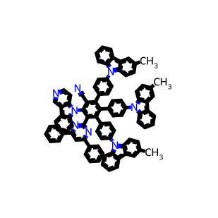 Cc1ccc2c(c1)c1ccccc1n2-c1ccc(-c2c(C#N)c(-n3c4ccccc4c4cnccc43)c(-c3nc(-c4ccccc4)cc(-c4ccccc4)n3)c(-c3ccc(-n4c5ccccc5c5cc(C)ccc54)cc3)c2-c2ccc(-n3c4ccccc4c4cc(C)ccc43)cc2)cc1